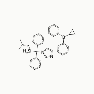 CC(C)=C[SiH2]C(c1ccccc1)(c1ccccc1)n1ccnc1.c1ccc(B(c2ccccc2)C2CC2)cc1